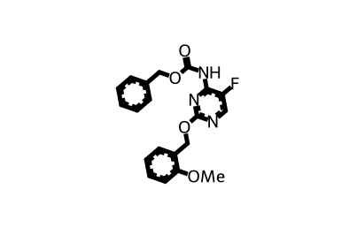 COc1ccccc1COc1ncc(F)c(NC(=O)OCc2ccccc2)n1